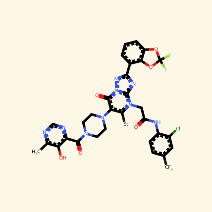 CCc1c(N2CCN(C(=O)c3ncnc(C)c3O)CC2)c(=O)n2nc(-c3cccc4c3OC(F)(F)O4)nc2n1CC(=O)Nc1ccc(C(F)(F)F)cc1Cl